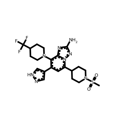 CS(=O)(=O)N1CCC(c2cc(-c3cn[nH]c3)c(N3CCC(C(F)(F)F)CC3)c3nc(N)nn23)CC1